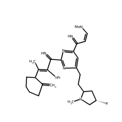 C=C1CCCCC1/C(C)=C(\CCC)C(=N)c1nc(CCC2C[C@H](F)CN2C)cc(C(=N)/C=C\NC)n1